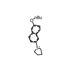 CCCCOc1ccc2cc([S+]3CCCC3)ccc2c1